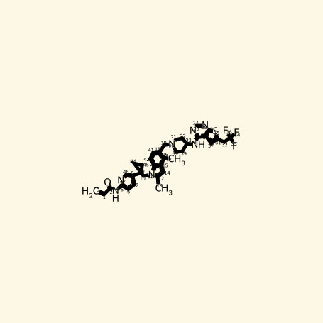 C=CC(=O)Nc1ccc(C2(Cn3c(C)cc4c(C)c(CN5CCC(Nc6ncnc7sc(CC(F)(F)F)cc67)CC5)ccc43)CC2)cn1